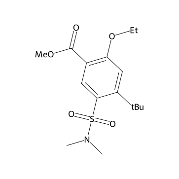 CCOc1cc(C(C)(C)C)c(S(=O)(=O)N(C)C)cc1C(=O)OC